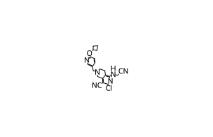 N#CCNc1nc(Cl)c(C#N)c2c1CCN(Cc1ccc(OC3CCC3)nc1)C2